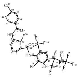 O=C(Nc1cccc(C(=O)Nc2c(Br)cc(C(F)(C(F)(F)F)C(F)(F)C(F)(F)F)cc2C(F)(F)F)c1F)c1ccc(Cl)nc1